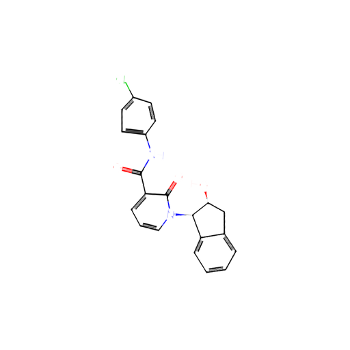 O=C(Nc1ccc(Cl)cc1)c1cccn([C@@H]2c3ccccc3C[C@@H]2O)c1=O